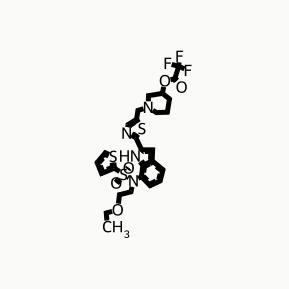 CCOCCN(c1cccc2cc(-c3ncc(CN4CCCC(OC(=O)C(F)(F)F)C4)s3)[nH]c12)S(=O)(=O)c1cccs1